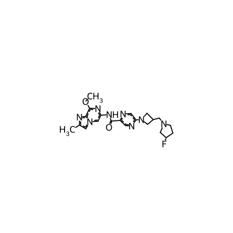 COc1nc(NC(=O)c2cnc(N3CC(CN4CC[C@@H](F)C4)C3)cn2)cn2cc(C)nc12